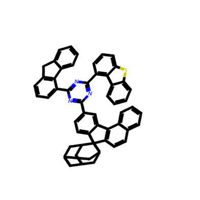 c1ccc2c(c1)Cc1cccc(-c3nc(-c4ccc5c(c4)-c4c(ccc6ccccc46)C54C5CC6CC(C5)CC4C6)nc(-c4cccc5sc6ccccc6c45)n3)c1-2